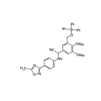 COc1cc(C(C#N)Nc2ccc(-c3noc(C)n3)cc2)cc(CO[Si](C(C)C)(C(C)C)C(C)C)c1OC